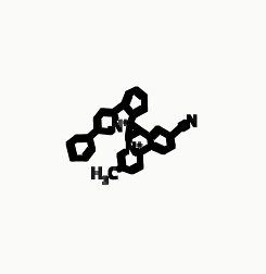 Cc1ccc2[n+](c1)C1C(c3cc(C#N)ccc3-2)C12c1ccccc1-c1ccc(-c3ccccc3)c[n+]12